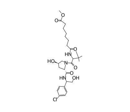 COC(=O)CCCCCCC(=O)NC(C(=O)N1C[C@H](O)C[C@H]1C(=O)NC(CO)c1ccc(Cl)cc1)C(C)(C)C